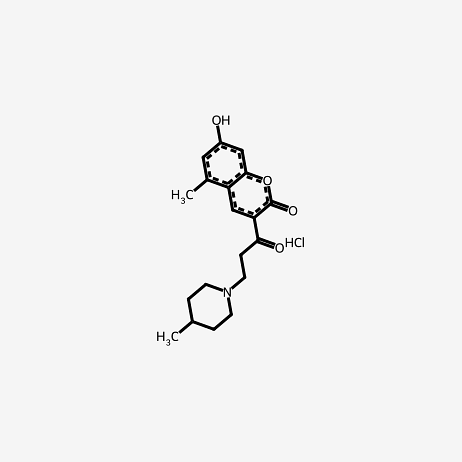 Cc1cc(O)cc2oc(=O)c(C(=O)CCN3CCC(C)CC3)cc12.Cl